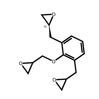 c1cc(CC2CO2)c(OCC2CO2)c(C[C@H]2CO2)c1